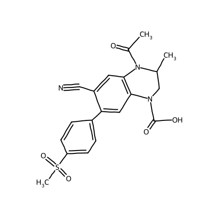 CC(=O)N1c2cc(C#N)c(-c3ccc(S(C)(=O)=O)cc3)cc2N(C(=O)O)CC1C